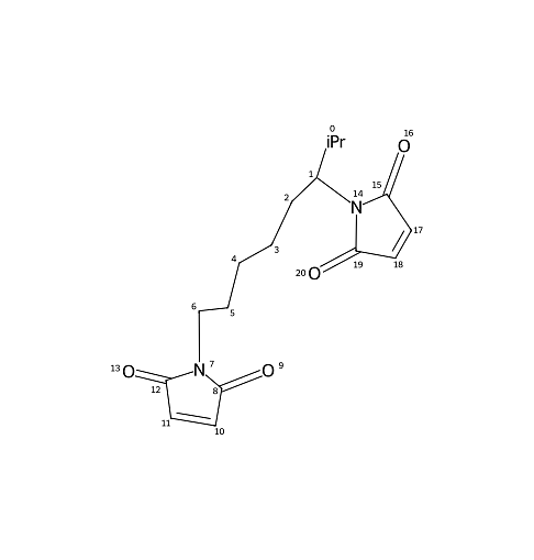 CC(C)C(CCCCCN1C(=O)C=CC1=O)N1C(=O)C=CC1=O